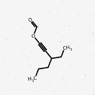 CCCC(C#CO[C]=O)CC